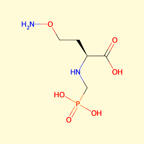 NOCC[C@H](NCP(=O)(O)O)C(=O)O